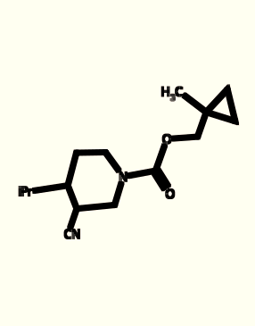 CC(C)C1CCN(C(=O)OCC2(C)CC2)CC1C#N